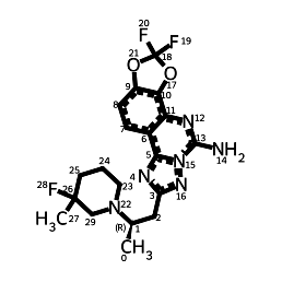 C[C@H](Cc1nc2c3ccc4c(c3nc(N)n2n1)OC(F)(F)O4)N1CCCC(C)(F)C1